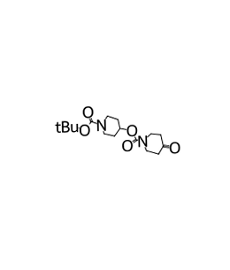 CC(C)(C)OC(=O)N1CCC(OC(=O)N2CCC(=O)CC2)CC1